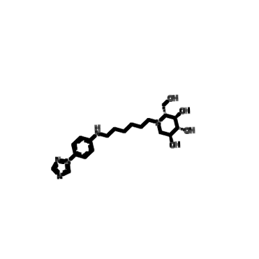 OC[C@@H]1[C@@H](O)[C@H](O)[C@@H](O)CN1CCCCCCNc1ccc(-n2cncn2)cc1